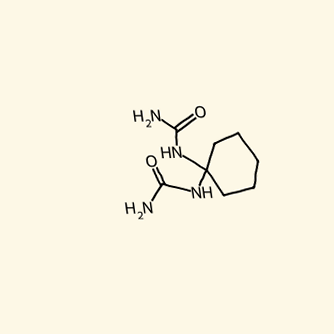 NC(=O)NC1(NC(N)=O)CCCCC1